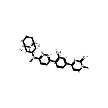 CN(c1ccc(-c2ccc(-c3ccn(C)c(=O)n3)cc2O)nn1)C1C[C@]2(C)CCC[C@](C)(C1)N2